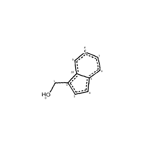 OCc1ccc2ccscc1-2